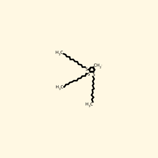 [CH2]c1cc(SCCCCCCCCCCCCC)c(SCCCCCCCCCCCCC)c(SCCCCCCCCCCCCC)c1